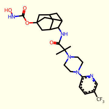 CC(C)(C(=O)NC1C2CC3CC1CC(OC(=O)NO)(C3)C2)N1CCN(c2ccc(C(F)(F)F)cn2)CC1